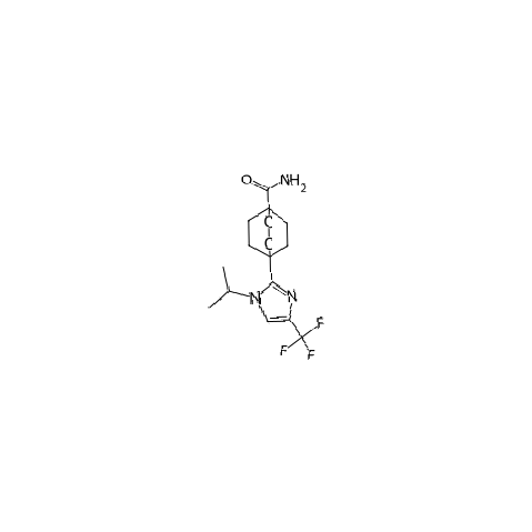 CC(C)n1cc(C(F)(F)F)nc1C12CCC(C(N)=O)(CC1)CC2